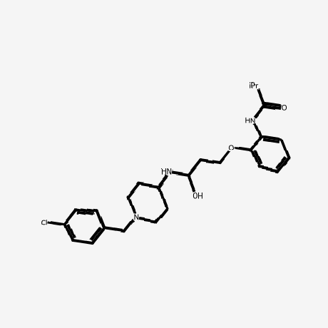 CC(C)C(=O)Nc1ccccc1OCCC(O)NC1CCN(Cc2ccc(Cl)cc2)CC1